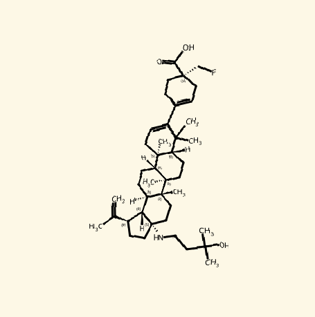 C=C(C)[C@@H]1CC[C@]2(NCCC(C)(C)O)CC[C@]3(C)[C@H](CC[C@@H]4[C@@]5(C)CC=C(C6=CC[C@](CF)(C(=O)O)CC6)C(C)(C)[C@@H]5CC[C@]43C)[C@@H]12